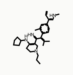 C=C/C(=C\NC)c1ccc(C(C(=N)C2=C(NC3CCCC3)CCN(CCC)C2)=C(C)C)c(C)c1